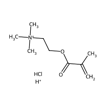 C=C(C)C(=O)OCC[N+](C)(C)C.Cl.[H+]